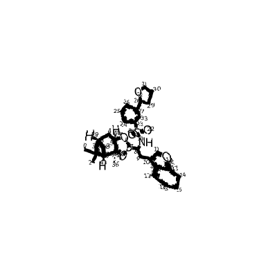 CC1(C)[C@@H]2C[C@H]3OB(C(Cc4coc5ccccc45)NS(=O)(=O)c4cccc(C5CCCO5)c4)O[C@@]3(C)[C@H]1C2